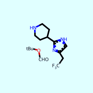 CC(C)(C)OC=O.FC(F)(F)Cc1c[nH]c(C2CCNCC2)n1